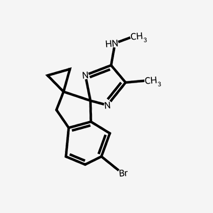 CNC1=NC2(N=C1C)c1cc(Br)ccc1CC21CC1